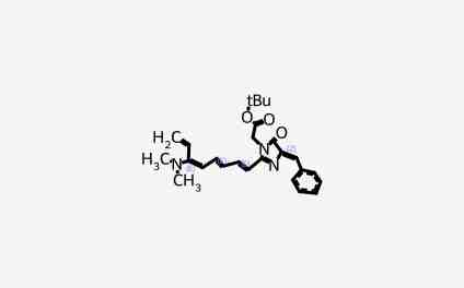 C=C\C(=C/C=C/C=C/C1=NC(=C\c2ccccc2)/C(=O)N1CC(=O)OC(C)(C)C)N(C)C